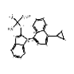 CCOC(=O)C(C)(C)Sc1nc2ccccc2n1-c1ccc(C2CC2)c2ccccc12